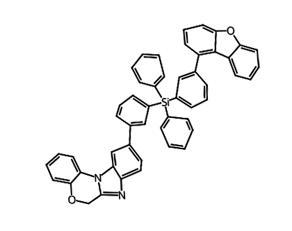 c1ccc([Si](c2ccccc2)(c2cccc(-c3ccc4nc5n(c4c3)-c3ccccc3OC5)c2)c2cccc(-c3cccc4oc5ccccc5c34)c2)cc1